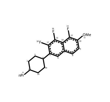 CCCC1CCC(c2cc3ccc(OC)c(F)c3c(F)c2F)CC1